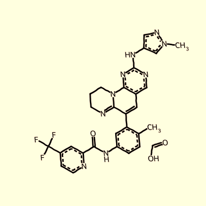 Cc1ccc(NC(=O)c2cc(C(F)(F)F)ccn2)cc1C1=Cc2cnc(Nc3cnn(C)c3)nc2N2CCCN=C12.O=CO